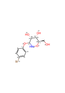 OC[C@H]1ONC(Oc2ccc(Br)cc2)[C@H](O)[C@@H]1O